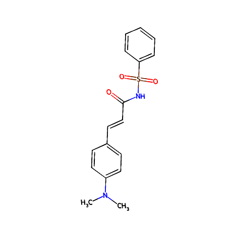 CN(C)c1ccc(C=CC(=O)NS(=O)(=O)c2ccccc2)cc1